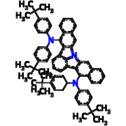 CC(C)(C)C1=CCC(N(c2ccc(C(C)(C)C)cc2)c2c3ccccc3cc3c2c2cccc4c5c(N(c6ccc(C(C)(C)C)cc6)c6ccc(C(C)(C)C)cc6)c6ccccc6cc5n3c42)C=C1